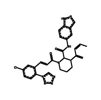 C=C(/C=C\C)C1CCCN(C(=O)/C=C/c2cc(Cl)ccc2-n2cnnn2)C1C(=O)Nc1ccc2[nH]ncc2c1